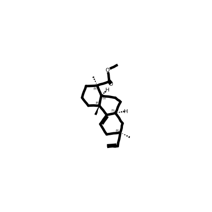 C=C[C@@]1(C)CC=C2[C@@H](CC[C@@H]3[C@](C)(C(=O)OC)CCC[C@@]23C)C1